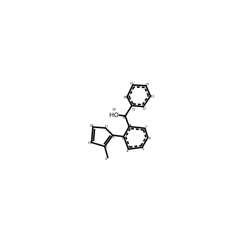 CC1=C(c2ccccc2C(O)c2ccccc2)CC=C1